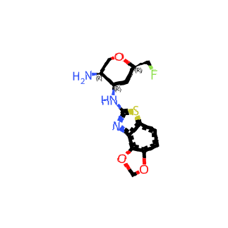 N[C@H]1CO[C@@H](CF)C[C@H]1Nc1nc2c3c(ccc2s1)OCO3